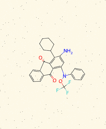 Nc1cc(N(OC(F)(F)F)c2ccccc2)c2c(c1C1CCCCC1)C(=O)c1ccccc1C2=O